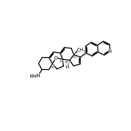 CNC1CCC2=CC3=CC[C@]4(C)C(c5ccc6ccncc6c5)=CC[C@H]4[C@@]34CC[C@]2(C1)O4